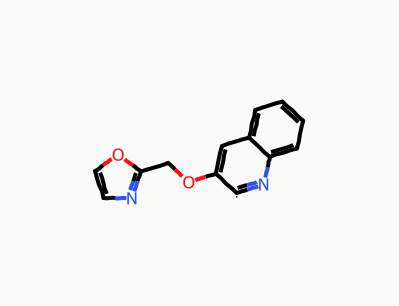 [c]1nc2ccccc2cc1OCc1ncco1